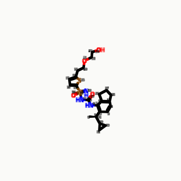 C[C@@H](c1ccc2c(c1NC(=O)NS(=N)(=O)c1ccc(CCOCCO)s1)CCC2)C1CC1